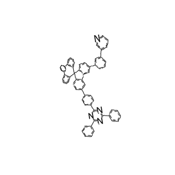 c1ccc(-c2nc(-c3ccccc3)nc(-c3ccc(-c4ccc5c(c4)-c4cc(-c6cccc(-c7cccnc7)c6)ccc4C54c5ccccc5Oc5ccccc54)cc3)n2)cc1